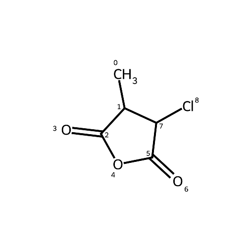 CC1C(=O)OC(=O)C1Cl